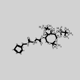 CC1(C)OC[C@@H](OC(=O)CNC(=O)OCc2ccccc2)[C@@H]2OC(C)(C)O[C@H]2[C@H](O[Si](C)(C)C(C)(C)C)CO1